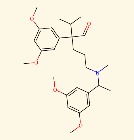 COc1cc(OC)cc(C(C)N(C)CCCC(C=O)(c2cc(OC)cc(OC)c2)C(C)C)c1